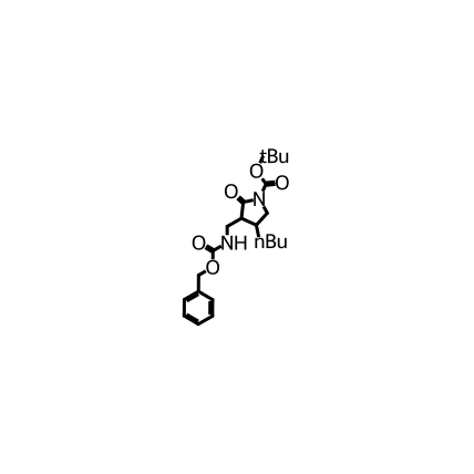 CCCCC1CN(C(=O)OC(C)(C)C)C(=O)C1CNC(=O)OCc1ccccc1